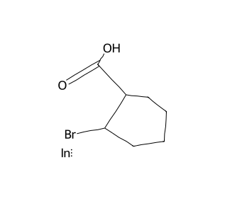 O=C(O)C1CCCCC1Br.[In]